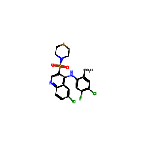 O=C(O)c1cc(Cl)c(F)cc1Nc1c(S(=O)(=O)N2CCSCC2)cnc2ccc(Cl)cc12